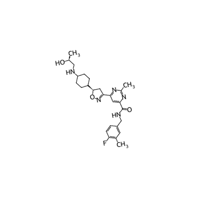 Cc1nc(C(=O)NCc2ccc(F)c(C)c2)cc(C2=NO[C@@H](C3CCC(NC[C@H](C)O)CC3)C2)n1